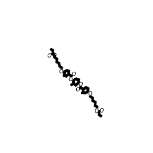 CCC(=O)OCCCCCCOc1ccc(C(=O)Oc2ccc(OC(=O)c3ccc(OCCCCCCOC(=O)CC)cc3)c(C)c2)cc1